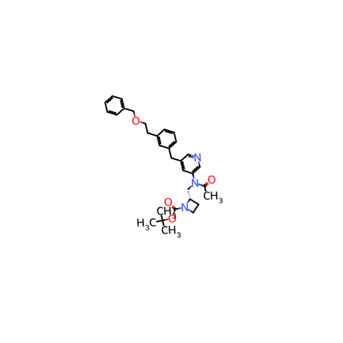 CC(=O)N(C[C@@H]1CCN1C(=O)OC(C)(C)C)c1cncc(Cc2cccc(CCOCc3ccccc3)c2)c1